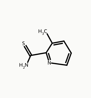 Cc1cccnc1C(N)=S